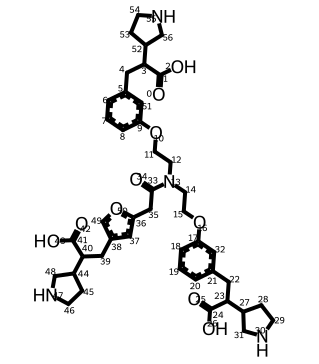 O=C(O)C(Cc1cccc(OCCN(CCOc2cccc(CC(C(=O)O)C3CCNC3)c2)C(=O)Cc2cc(CC(C(=O)O)C3CCNC3)co2)c1)C1CCNC1